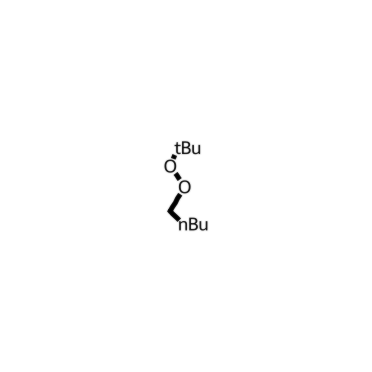 [CH2]CCCCOOC(C)(C)C